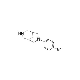 Brc1ccc(N2CC3CNCC(C3)C2)cn1